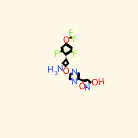 N.Oc1cc(-c2cnc(O[C@H]3C[C@@H](c4c(F)cc(OC(F)F)cc4F)C3)cn2)on1